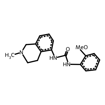 COc1ccccc1NC(=O)Nc1cccc2c1CCN(C)C2